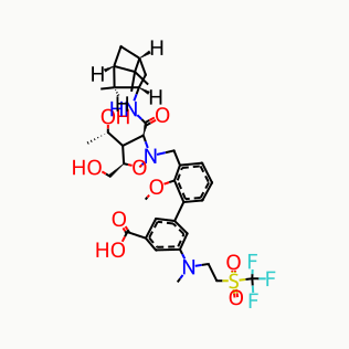 COc1c(CN2O[C@@H](CO)C([C@H](C)O)[C@H]2C(=O)N[C@H]2C[C@H]3C[C@@H]([C@@H]2C)C3(C)C)cccc1-c1cc(C(=O)O)cc(N(C)CCS(=O)(=O)C(F)(F)F)c1